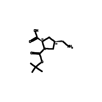 CC(C)(C)OC(=O)N1C[C@@H](CN)C[C@H]1C(=O)O